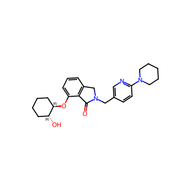 O=C1c2c(cccc2O[C@@H]2CCCC[C@H]2O)CN1Cc1ccc(N2CCCCC2)nc1